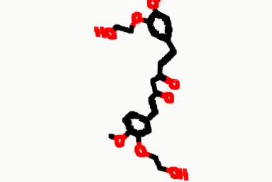 COc1ccc(/C=C/C(=O)CC(=O)/C=C/c2ccc(OC)c(OCCO)c2)cc1OCCO